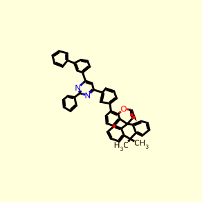 CC1(C)c2ccccc2C2(c3ccccc3Oc3c(-c4cccc(-c5cc(-c6cccc(-c7ccccc7)c6)nc(-c6ccccc6)n5)c4)cccc32)c2ccccc21